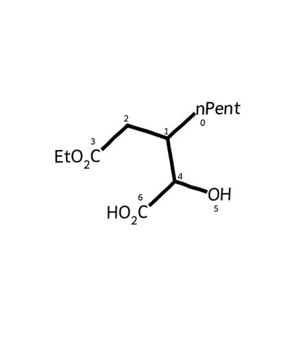 CCCCCC(CC(=O)OCC)C(O)C(=O)O